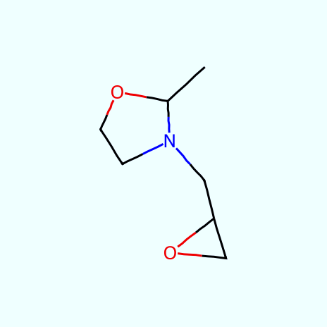 CC1OCCN1CC1CO1